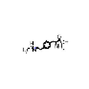 CN/N=C/Cc1ccc(CC(N)C(=O)O)cc1